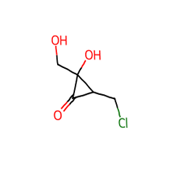 O=C1C(CCl)C1(O)CO